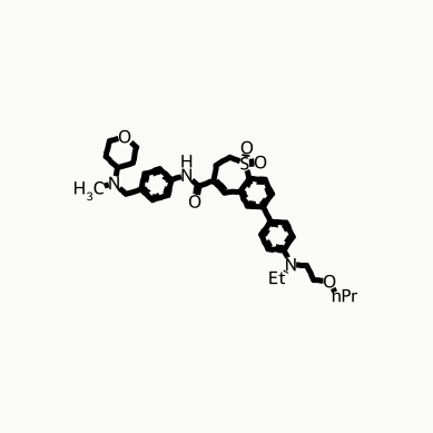 CCCOCCN(CC)c1ccc(-c2ccc3c(c2)C=C(C(=O)Nc2ccc(CN(C)C4CCOCC4)cc2)CCS3(=O)=O)cc1